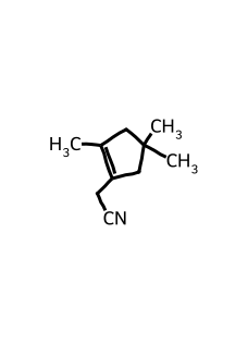 CC1=C(CC#N)CC(C)(C)C1